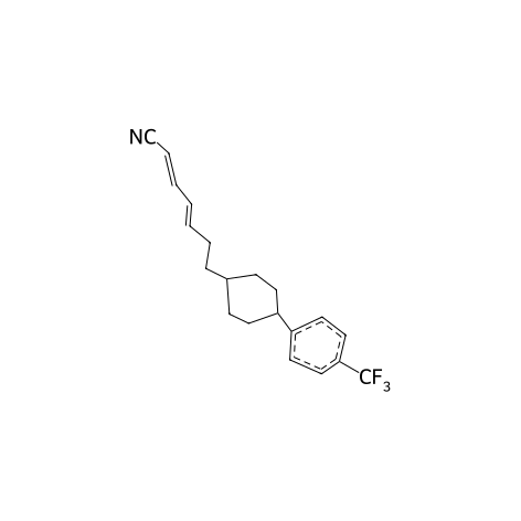 N#CC=CC=CCCC1CCC(c2ccc(C(F)(F)F)cc2)CC1